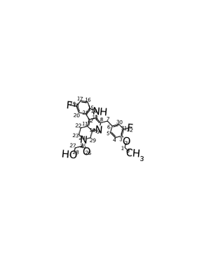 CCOc1ccc(Cc2nc3c(c4c2[nH]c2ccc(F)cc24)CCN(C(=O)CO)C3)cc1F